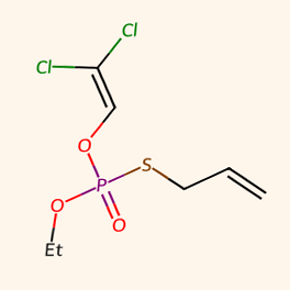 C=CCSP(=O)(OC=C(Cl)Cl)OCC